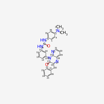 CN(C)c1ccc(NC(=O)Nc2cccc(-n3c(=O)c(Cc4ccccc4)nc4cccnc43)c2)cc1